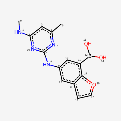 CNc1cc(C)nc(Nc2cc(B(O)O)c3occc3c2)n1